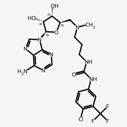 CN(CCCNC(=O)Nc1ccc(Cl)c(C(F)(F)F)c1)C[C@H]1O[C@@H](n2cnc3c(N)ncnc32)[C@H](O)[C@@H]1O